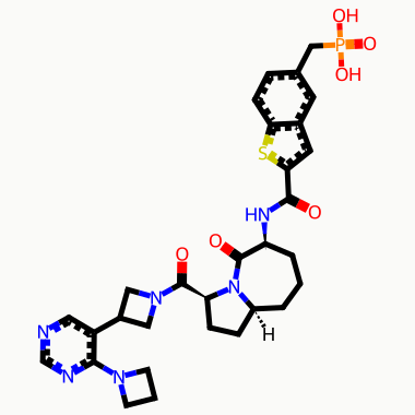 O=C(N[C@H]1CCC[C@H]2CC[C@@H](C(=O)N3CC(c4cncnc4N4CCC4)C3)N2C1=O)c1cc2cc(CP(=O)(O)O)ccc2s1